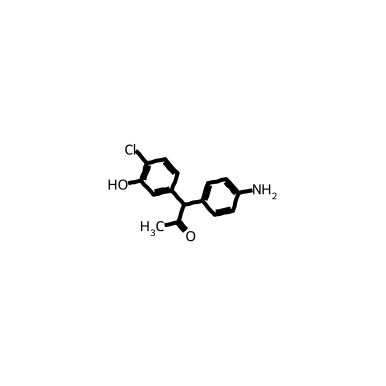 CC(=O)C(c1ccc(N)cc1)c1ccc(Cl)c(O)c1